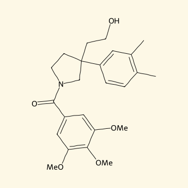 COc1cc(C(=O)N2CCC(CCO)(c3ccc(C)c(C)c3)C2)cc(OC)c1OC